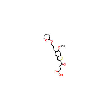 COc1cc2sc(C(=O)CCC(=O)O)cc2cc1CCCOC1CCCCO1